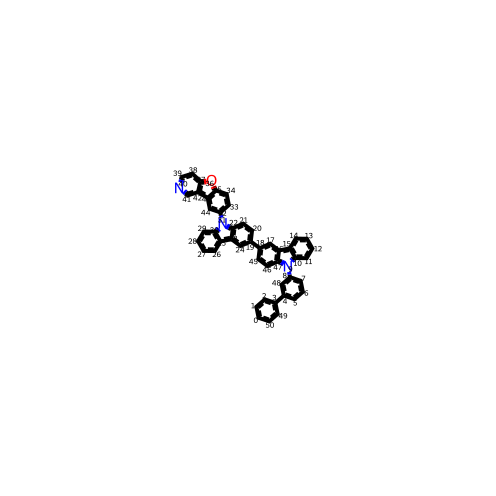 c1ccc(-c2cccc(-n3c4ccccc4c4cc(-c5ccc6c(c5)c5ccccc5n6-c5ccc6oc7ccncc7c6c5)ccc43)c2)cc1